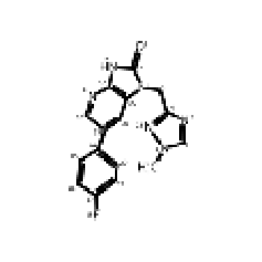 Cn1cnc(Cn2c(=O)[nH]c3ncc(-c4ccc(F)cc4)cc32)n1